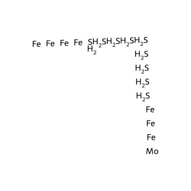 S.S.S.S.S.S.S.S.S.[Fe].[Fe].[Fe].[Fe].[Fe].[Fe].[Fe].[Mo]